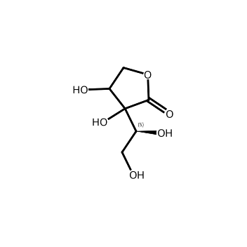 O=C1OCC(O)C1(O)[C@@H](O)CO